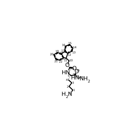 NCCCC[C@H](NC(=O)OCC1c2ccccc2-c2ccccc21)C(=O)NN